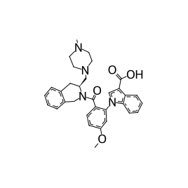 COc1ccc(C(=O)N2Cc3ccccc3C[C@H]2CN2CCN(C)CC2)c(-n2cc(C(=O)O)c3ccccc32)c1